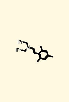 Cc1cc(C)c(/C=[CH]/[Al]([CH2]C(C)C)[CH2]C(C)C)c(C)c1